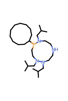 CC(C)CN1CCNCCN(CC(C)C)P(C2CCCCCCCCCC2)CCN1CC(C)C